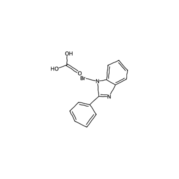 Brn1c(-c2ccccc2)nc2ccccc21.O=C(O)O